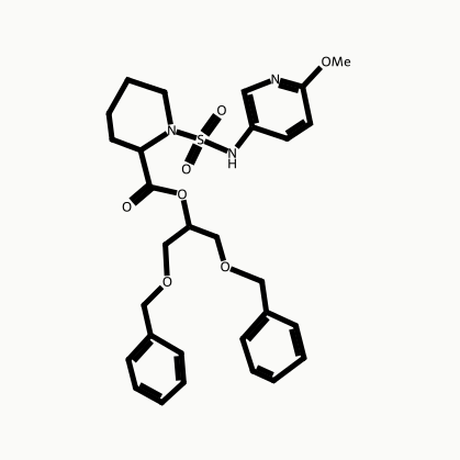 COc1ccc(NS(=O)(=O)N2CCCCC2C(=O)OC(COCc2ccccc2)COCc2ccccc2)cn1